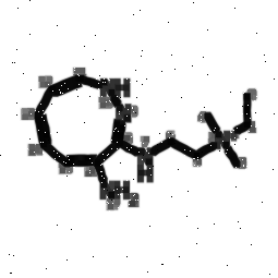 CC[N+](C)(C)CCNc1n[nH]cccccc1N